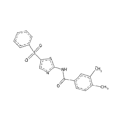 Cc1ccc(C(=O)Nc2ncc(S(=O)(=O)c3ccccc3)s2)cc1C